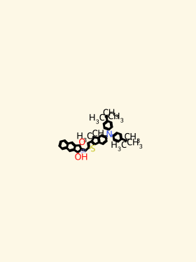 CC(C)(C)c1ccc(N(c2ccc(C(C)(C)C)cc2)c2ccc3c(c2)C(C)(C)c2cc(/C=C4\C(=O)c5cc6ccccc6cc5C4O)sc2-3)cc1